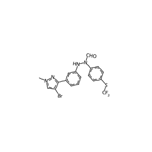 Cn1cc(Br)c(-c2cccc(NN(C=O)c3ccc(SC(F)(F)F)cc3)c2)n1